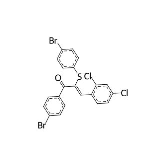 O=C(C(=Cc1ccc(Cl)cc1Cl)Sc1ccc(Br)cc1)c1ccc(Br)cc1